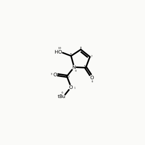 CC(C)(C)OC(=O)N1C(=O)C=CC1O